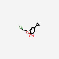 OC1(OCCCl)C=CC(C2CC2)=CC1